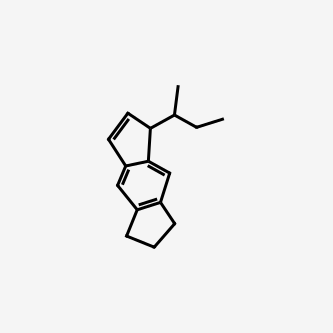 CCC(C)C1C=Cc2cc3c(cc21)CCC3